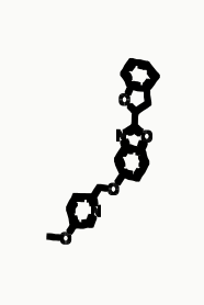 COc1ccc(COc2ccc3oc(C4Cc5ccccc5O4)nc3c2)nc1